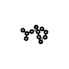 C1=CC(C2=CC(n3c4c(c5ccccc53)CCC(C3=CC5C(CC3)c3ccccc3N5C3C=CC(C5=CC(C6=CCCC=C6)=CC(C6=CCCC=C6)C5)=CC3)=C4)CC=C2)CC(C2=CCCC=C2)=C1